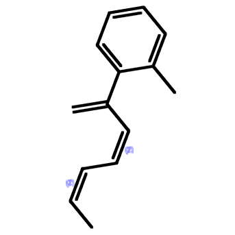 C=C(/C=C\C=C/C)c1ccccc1C